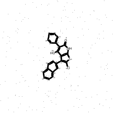 O=c1[nH]c2sc(Cl)c(-c3ccc4ccccc4c3)c2c(O)c1-c1ccccc1